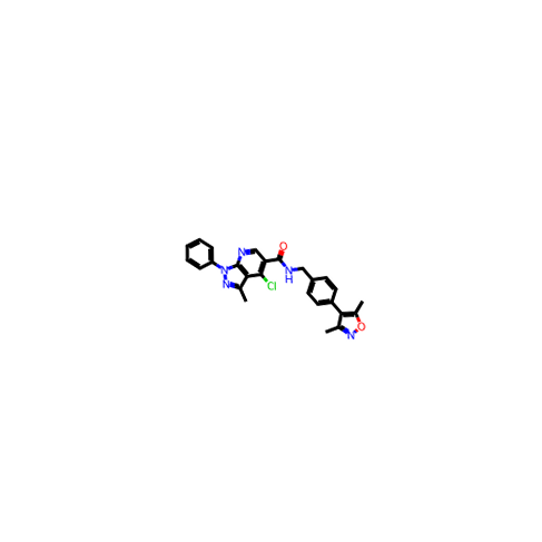 Cc1noc(C)c1-c1ccc(CNC(=O)c2cnc3c(c(C)nn3-c3ccccc3)c2Cl)cc1